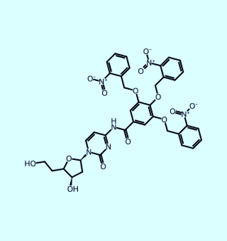 O=C(Nc1ccn([C@H]2C[C@@H](O)C(CCO)O2)c(=O)n1)c1cc(OCc2ccccc2[N+](=O)[O-])c(OCc2ccccc2[N+](=O)[O-])c(OCc2ccccc2[N+](=O)[O-])c1